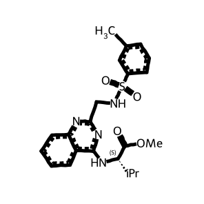 COC(=O)[C@@H](Nc1nc(CNS(=O)(=O)c2cccc(C)c2)nc2ccccc12)C(C)C